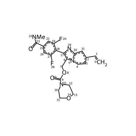 C=Cc1ccn2c(COC(=O)N3CCOCC3)c(-c3c(F)cc(C(=O)NC)cc3F)nc2c1